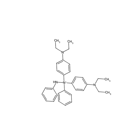 CCN(CC)c1ccc([N+](Nc2ccccc2)(c2ccccc2)c2ccc(N(CC)CC)cc2)cc1